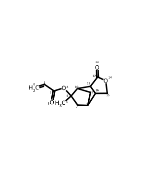 C=CC(=O)OC1(C)CC2CC1C1C(=O)OCC21